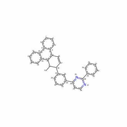 CC1c2c(c3ccccc3c3ccccc23)C=CC1c1cccc(-c2ccnc(-c3ccccc3)n2)c1